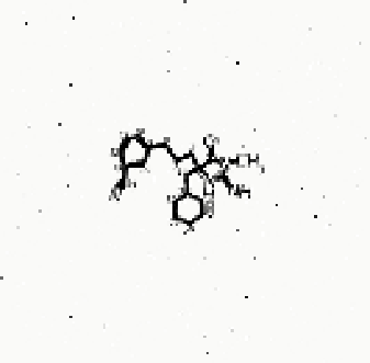 CN1C(=N)NC(CCCc2cccc(C#N)c2)(CC2CCCCC2)C1=O